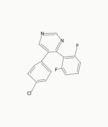 Fc1cccc(F)c1-c1n[c]ncc1-c1ccc(Cl)cc1